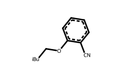 CCC(C)COc1ccccc1C#N